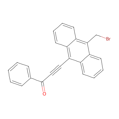 O=C(C#Cc1c2ccccc2c(CBr)c2ccccc12)c1ccccc1